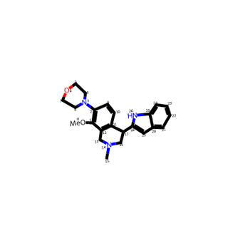 COc1c(N2CCOCC2)ccc2c1CN(C)CC2c1cc2ccccc2[nH]1